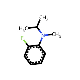 CC(C)N(C)c1ccccc1F